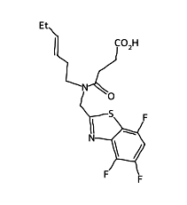 CCC=CCCN(Cc1nc2c(F)c(F)cc(F)c2s1)C(=O)CCC(=O)O